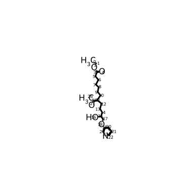 CCOC(=O)CCCCCCC(CCCC(O)COc1cccnc1)C(C)=O